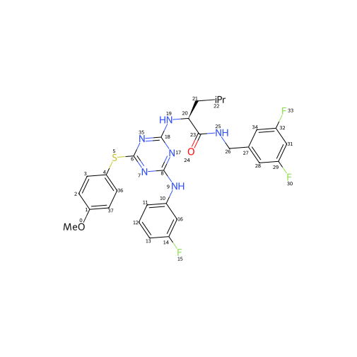 COc1ccc(Sc2nc(Nc3cccc(F)c3)nc(N[C@@H](CC(C)C)C(=O)NCc3cc(F)cc(F)c3)n2)cc1